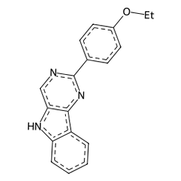 CCOc1ccc(-c2ncc3[nH]c4ccccc4c3n2)cc1